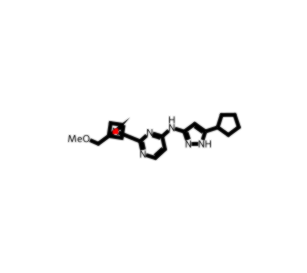 COCC12CC(C1)N(c1nccc(Nc3cc(C4CCCC4)[nH]n3)n1)C2